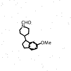 COc1ccc2c(c1)C(C1CCN(C=O)CC1)CC2